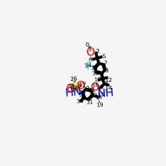 COCC(C)(C)c1ccc(C(C)(C)C(C)C(=O)N[C@H](C)c2ccc(NS(C)(=O)=O)c(C)c2)cc1F